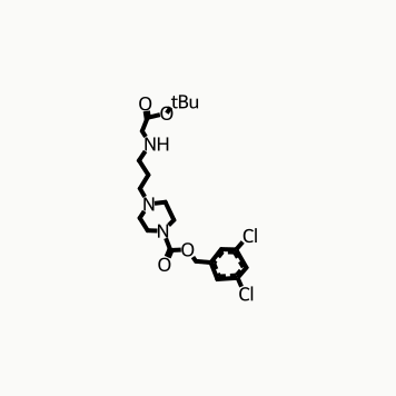 CC(C)(C)OC(=O)CNCCCN1CCN(C(=O)OCc2cc(Cl)cc(Cl)c2)CC1